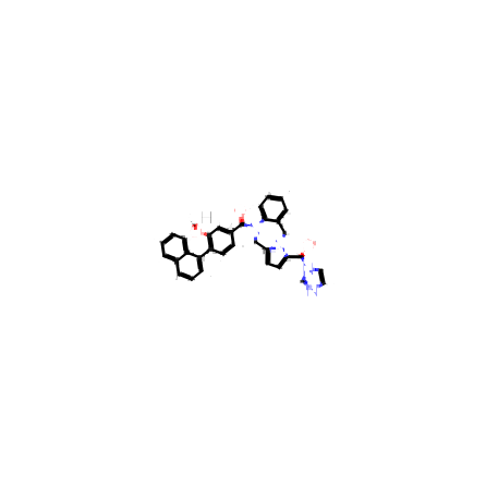 COc1cc(C(=O)N2Cc3ccc(C(=O)n4ccnc4)n3Cc3ccccc32)ccc1-c1cccc2ccccc12